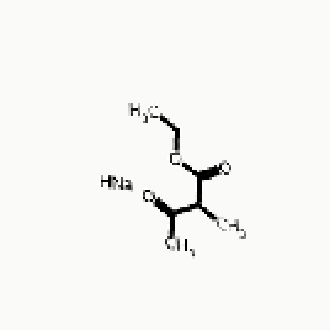 CCOC(=O)C(C)C(C)=O.[NaH]